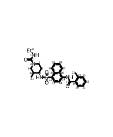 CCNC(=O)N1CC[C@H](NS(=O)(=O)c2ccc(NC(=O)c3ccccc3C)c3ccccc23)C(C)C1